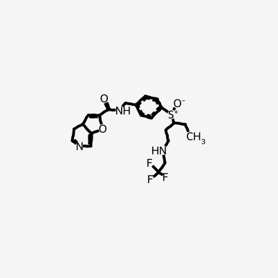 CCC(CCNCC(F)(F)F)[S+]([O-])c1ccc(CNC(=O)C2=CC3CC=NC=C3O2)cc1